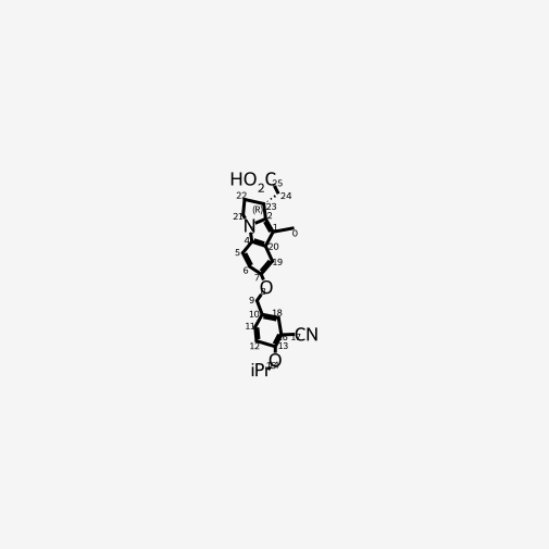 Cc1c2n(c3ccc(OCc4ccc(OC(C)C)c(C#N)c4)cc13)CC[C@@H]2CC(=O)O